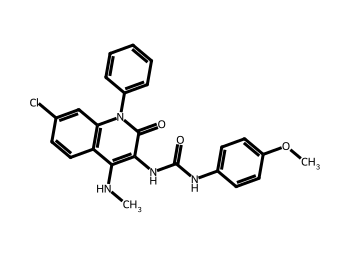 CNc1c(NC(=O)Nc2ccc(OC)cc2)c(=O)n(-c2ccccc2)c2cc(Cl)ccc12